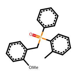 COc1ccccc1CP(=O)(c1ccccc1)c1ccccc1C